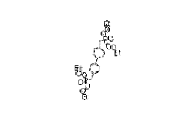 CCOOP(=O)(Cc1ccc(-c2ccc(CP(=O)(OOCC)OOCC)cc2)cc1)OOCC